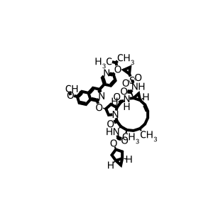 COc1ccc2c(O[C@@H]3C[C@H]4C(=O)N[C@]5(C(=O)NS(=O)(=O)C6CC6)C[C@H]5/C=C\CC[C@@H](C)C[C@@H](C)[C@H](NC(=O)O[C@@H]5C[C@@H]6C[C@@H]6C5)C(=O)N4C3)nc(-c3ccc(OC(C)C)nc3)cc2c1